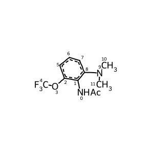 CC(=O)Nc1c(OC(F)(F)F)cccc1N(C)C